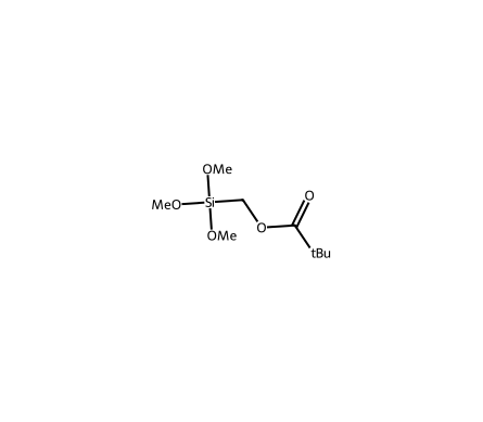 CO[Si](COC(=O)C(C)(C)C)(OC)OC